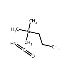 CCC[Si](C)(C)C.N=C=O